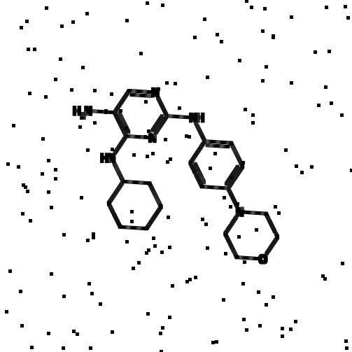 Nc1cnc(Nc2ccc(N3CCOCC3)cc2)nc1NC1CCCCC1